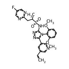 C=Cc1cncc(-c2nnc(NS(=O)(=O)C(C)Cc3ncc(F)cn3)n2-c2c(OC)cccc2OC)c1